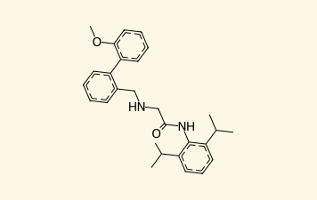 COc1ccccc1-c1ccccc1CNCC(=O)Nc1c(C(C)C)cccc1C(C)C